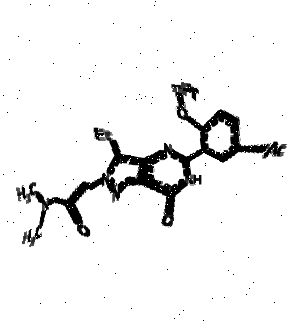 CCCOc1ccc(C(C)=O)cc1-c1nc2c(CC)n(CC(=O)N(C)C)nc2c(=O)[nH]1